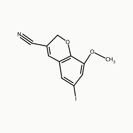 COc1cc(I)cc2c1OCC(C#N)=C2